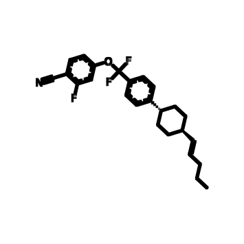 CCCC=C[C@H]1CC[C@H](c2ccc(C(F)(F)Oc3ccc(C#N)c(F)c3)cc2)CC1